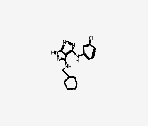 Clc1cccc(Nc2ncnc3[nH]nc(NCC4CCCCC4)c23)c1